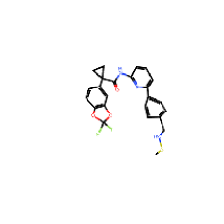 CSNCc1ccc(-c2cccc(NC(=O)C3(c4ccc5c(c4)OC(F)(F)O5)CC3)n2)cc1